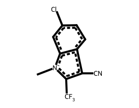 Cn1c(C(F)(F)F)c(C#N)c2ccc(Cl)cc21